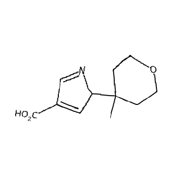 CC1(C2C=C(C(=O)O)C=N2)CCOCC1